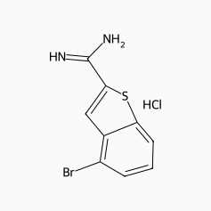 Cl.N=C(N)c1cc2c(Br)cccc2s1